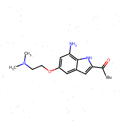 CN(C)CCOc1cc(N)c2[nH]c(C(=O)C(C)(C)C)cc2c1